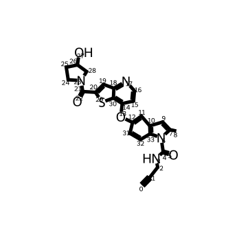 C#CCNC(=O)n1c(C)cc2cc(Oc3ccnc4cc(C(=O)N5CCC(O)C5)sc34)ccc21